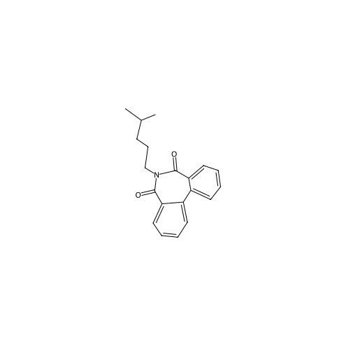 CC(C)CCCn1c(=O)c2ccccc2c2ccccc2c1=O